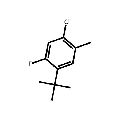 Cc1cc(C(C)(C)C)c(F)cc1Cl